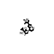 Cc1c(-c2cc3c(N4C[C@@H](C)[C@@](C#N)(C5CC5)C4=O)ccnn3c2)cnn1C